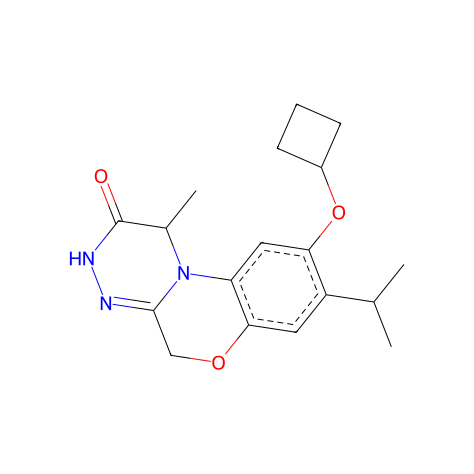 CC(C)c1cc2c(cc1OC1CCC1)N1C(=NNC(=O)C1C)CO2